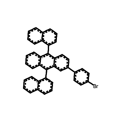 Brc1ccc(-c2ccc3c(-c4cccc5ccccc45)c4ccccc4c(-c4cccc5ccccc45)c3c2)cc1